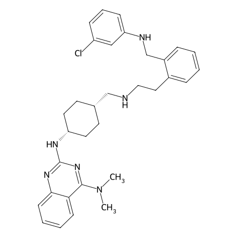 CN(C)c1nc(N[C@H]2CC[C@@H](CNCCc3ccccc3CNc3cccc(Cl)c3)CC2)nc2ccccc12